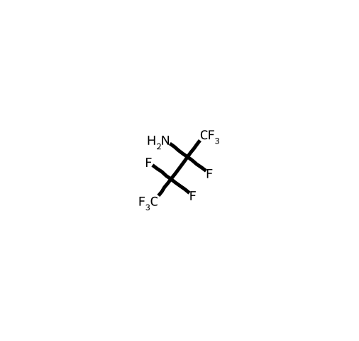 NC(F)(C(F)(F)F)C(F)(F)C(F)(F)F